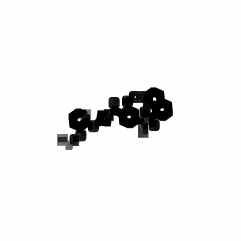 COc1cc(NS(=O)(=O)c2cccc3cccnc23)ccc1C(=O)N1CC(Oc2ncccc2OC)C1